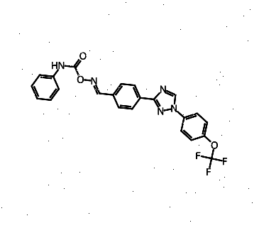 O=C(Nc1ccccc1)O/N=C/c1ccc(-c2ncn(-c3ccc(OC(F)(F)F)cc3)n2)cc1